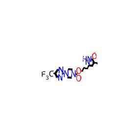 Cc1cc(CCCOC(=O)N2CCN(c3ncc(C(F)(F)F)cn3)CC2)n[nH]c1=O